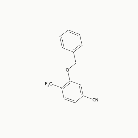 N#Cc1ccc(C(F)(F)F)c(OCc2ccccc2)c1